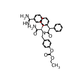 CCOC(=O)Oc1ccc(CN(C(=O)C(c2ccccc2)c2ccccc2)[C@H](Cc2cccc(C(=N)N)c2)C(N)=O)cc1